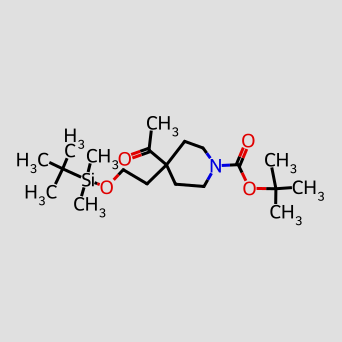 CC(=O)C1(CCO[Si](C)(C)C(C)(C)C)CCN(C(=O)OC(C)(C)C)CC1